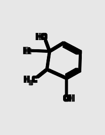 CCC1(O)C=CC=C(O)C1C